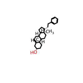 C[C@]12CC[C@H]3[C@@H](CC=C4C[C@@H](O)CC[C@@]43C)[C@@H]1CC[C@@H]2CCc1ccccc1